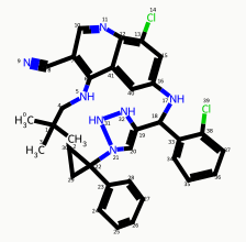 CC(C)(C)CNc1c(C#N)cnc2c(Cl)cc(NC(C3=CN(C4(c5ccccc5)CC4)NN3)c3ccccc3Cl)cc12